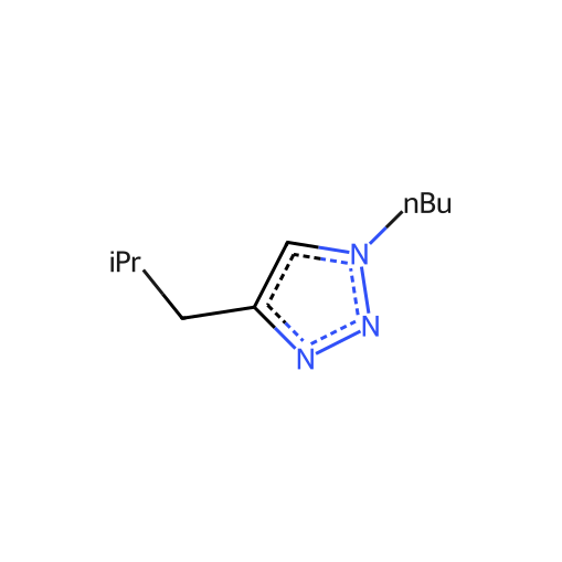 CCCCn1cc(CC(C)C)nn1